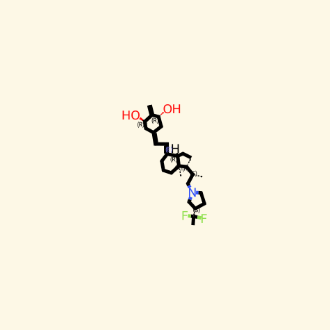 C=C1[C@H](O)CC(=C/C=C2\CCC[C@]3(C)[C@@H]([C@H](C)CN4CC[C@H](C(C)(F)F)C4)CC[C@@H]23)C[C@H]1O